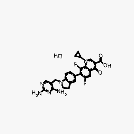 Cl.Nc1ncc(CN2CCc3cc(-c4c(F)cc5c(=O)c(C(=O)O)cn(C6CC6)c5c4F)ccc32)c(N)n1